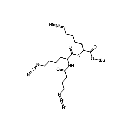 CC(C)(C)OC(=O)[C@H](CCCCN=[N+]=[N-])NC(=O)[C@H](CCCCN=[N+]=[N-])NC(=O)CCCN=[N+]=[N-]